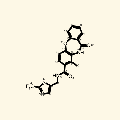 Cc1c(C(=O)NCc2cnc(C(F)(F)F)s2)ccc2c1NC(=O)c1ccccc1O2